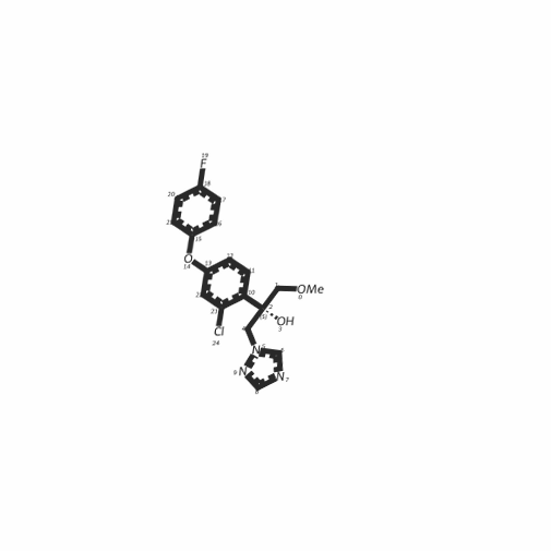 COC[C@@](O)(Cn1cncn1)c1ccc(Oc2ccc(F)cc2)cc1Cl